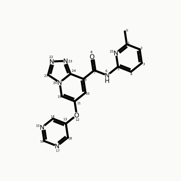 Cc1cccc(NC(=O)c2cc(Oc3cncnc3)cn3cnnc23)n1